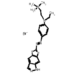 CCN(CC[N+](C)(C)C)c1ccc(N=Nc2nc3cc4[nH]ncc4cc3s2)cc1.[Br-]